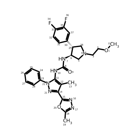 COCCN1C[C@@H](NC(=O)Nc2c(C)c(-c3nnc(C)o3)nn2-c2ccccc2)[C@H](c2ccc(F)c(F)c2)C1